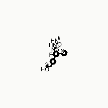 CCNC(=O)Nc1nc2c(F)c(-c3ccc(CC(=O)O)cc3)cc(-c3ccccn3)c2s1